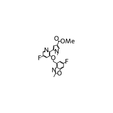 COC(=O)c1cc(-c2ncc(F)cc2OCc2cc(F)cc3oc(C)nc23)n(C)c1